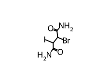 NC(=O)C(Br)C(I)C(N)=O